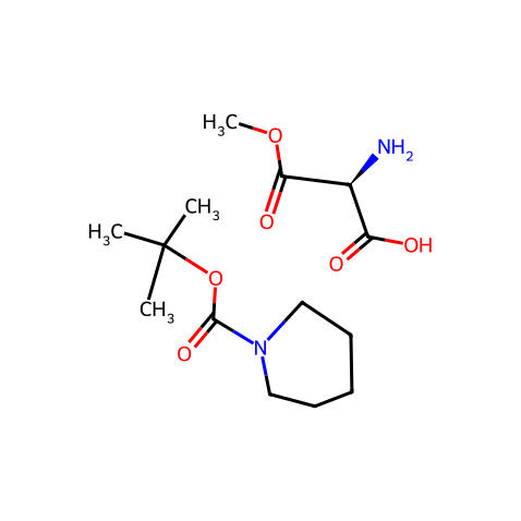 CC(C)(C)OC(=O)N1CCCCC1.COC(=O)[C@@H](N)C(=O)O